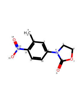 Cc1cc(N2CCOC2=O)ccc1[N+](=O)[O-]